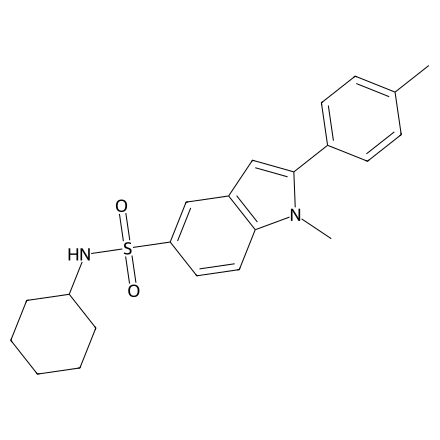 Cc1ccc(-c2cc3cc(S(=O)(=O)NC4CCCCC4)ccc3n2C)cc1